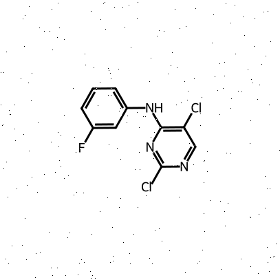 Fc1cccc(Nc2nc(Cl)ncc2Cl)c1